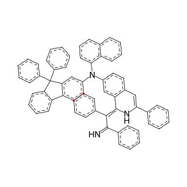 N=C(/C(=C1\NC(c2ccccc2)=Cc2ccc(N(c3ccc4c(c3)C(c3ccccc3)(c3ccccc3)c3ccccc3-4)c3cccc4ccccc34)cc21)c1ccccc1)c1ccccc1